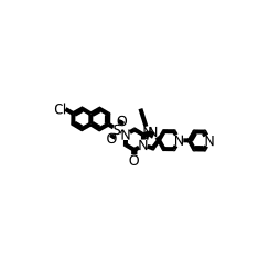 CN1CN2C3(CCN(c4ccncc4)CC3)CN3C(=O)CN(S(=O)(=O)c4ccc5cc(Cl)ccc5c4)CC32C1